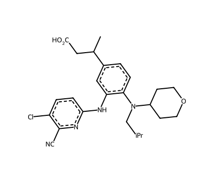 CC(C)CN(c1ccc(C(C)CC(=O)O)cc1Nc1ccc(Cl)c(C#N)n1)C1CCOCC1